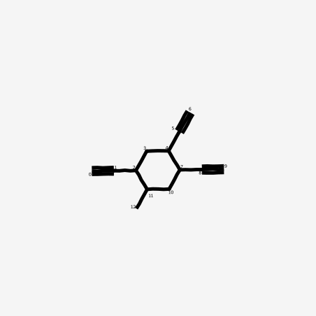 C#CC1CC(C#C)C(C#C)CC1C